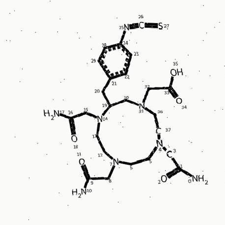 NC(=O)CN1CCN(CC(N)=O)CCN(CC(N)=O)C(Cc2ccc(N=C=S)cc2)CN(CC(=O)O)CC1